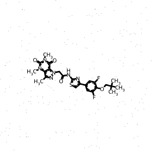 Cc1nn(CC(=O)Nc2nc(-c3cc(F)c(OCC(C)(C)C)c(F)c3)cs2)c2c(=O)n(C)c(=O)n(C)c12